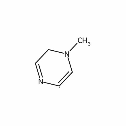 CN1C=[C]N=CC1